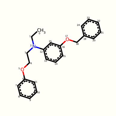 CCN(CCOc1ccccc1)c1cccc(OCc2ccccc2)c1